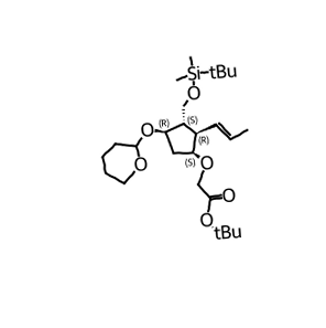 CC=C[C@@H]1[C@@H](CO[Si](C)(C)C(C)(C)C)[C@H](OC2CCCCO2)C[C@@H]1OCC(=O)OC(C)(C)C